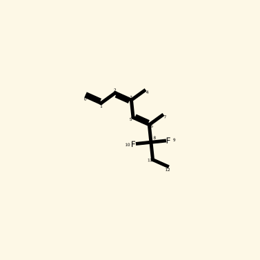 C=C/C=C(C)\C=C(/C)C(F)(F)CC